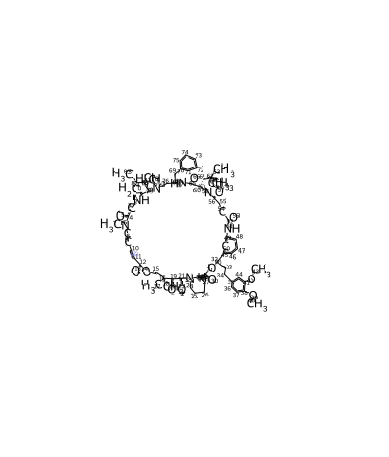 C=C1NCC(=O)N(C)CC/C=C\C(=O)OCC(C)(C)C(=O)C(=O)N2CCCC[C@H]2C(=O)O[C@H](CCc2ccc(OC)c(OC)c2)c2cccc(c2)NC(=O)CCC(=O)N(C)[C@@H](CC(C)C)C(=O)N[C@H](Cc2ccccc2)CN(C)[C@H]1[C@@H](C)CC